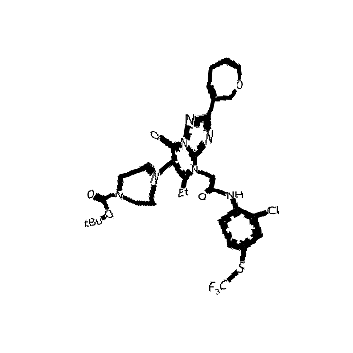 CCc1c(N2CCN(C(=O)OC(C)(C)C)CC2)c(=O)n2nc(C3=CCCCOC3)nc2n1CC(=O)Nc1ccc(SC(F)(F)F)cc1Cl